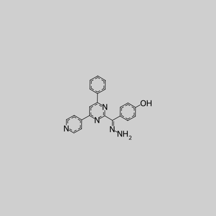 N/N=C(\c1ccc(O)cc1)c1nc(-c2ccccc2)cc(-c2ccncc2)n1